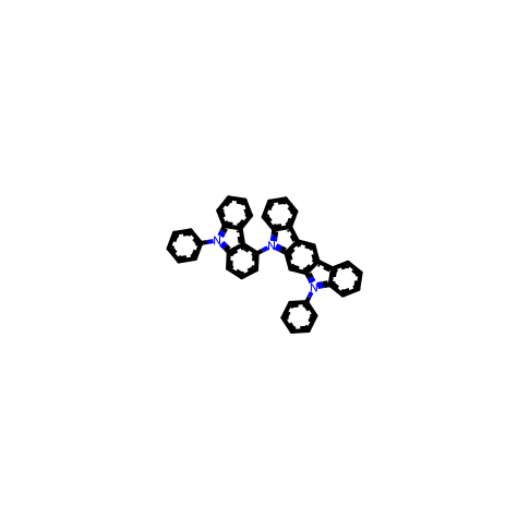 c1ccc(-n2c3ccccc3c3cc4c5ccccc5n(-c5cccc6c5c5ccccc5n6-c5ccccc5)c4cc32)cc1